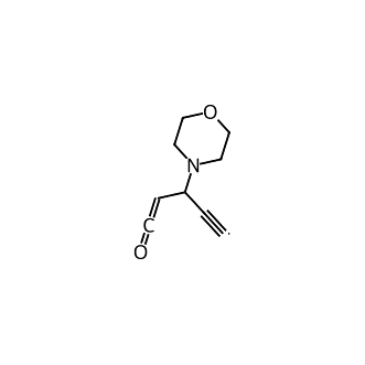 [C]#CC(C=C=O)N1CCOCC1